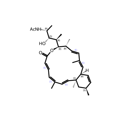 CC(=O)N[C@H](C)[C@@H](O)[C@@H](C)[C@@H]1OC(=O)/C=C/C=C(C)\C=C\[C@]2(C)C[C@H](C)C=C[C@@H]2/C=C(C)/C=C/[C@H]1C